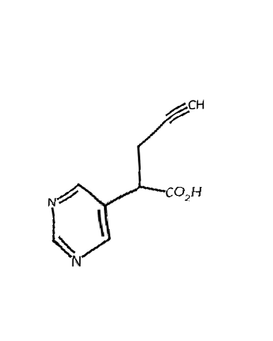 C#CCC(C(=O)O)c1cncnc1